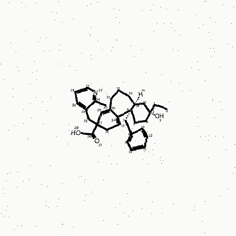 CC[C@@]1(O)CC[C@@]2(Cc3ccccc3)C3=CCC(Cc4cccnc4C)(C(=O)O)C=C3CCC[C@H]2C1